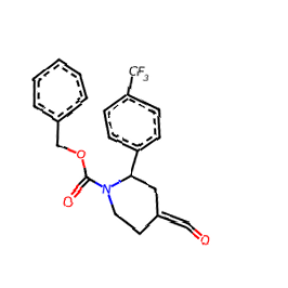 O=C=C1CCN(C(=O)OCc2ccccc2)C(c2ccc(C(F)(F)F)cc2)C1